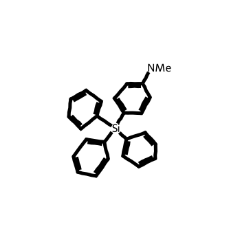 CNc1ccc([Si](c2ccccc2)(c2ccccc2)c2ccccc2)cc1